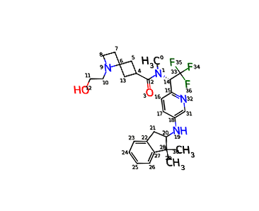 CN(C(=O)C1CC2(CCN2CCO)C1)[C@@H](c1ccc(NC2Cc3ccccc3C2(C)C)cn1)C(F)(F)F